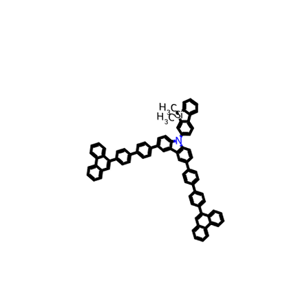 C[Si]1(C)c2ccccc2-c2ccc(-n3c4ccc(-c5ccc(-c6ccc(-c7cc8ccccc8c8ccccc78)cc6)cc5)cc4c4cc(-c5ccc(-c6ccc(-c7cc8ccccc8c8ccccc78)cc6)cc5)ccc43)cc21